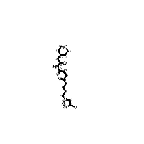 Cc1cn(CCCCc2ccc(NC(=O)CC3CCOCC3)nn2)nn1